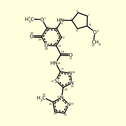 COc1c(NC2CCC(OC)C2)cc(C(=O)Nc2nnc(-n3nccc3C)s2)oc1=O